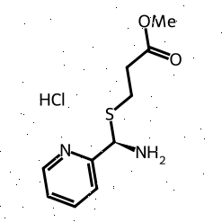 COC(=O)CCS[C@@H](N)c1ccccn1.Cl